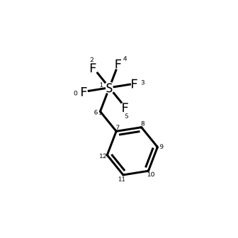 FS(F)(F)(F)(F)[CH]c1ccccc1